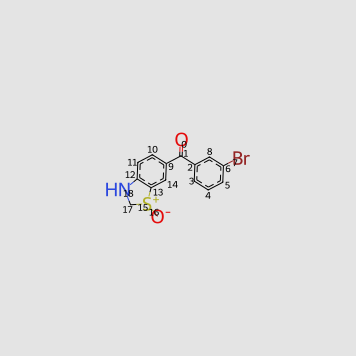 O=C(c1cccc(Br)c1)c1ccc2c(c1)[S+]([O-])CN2